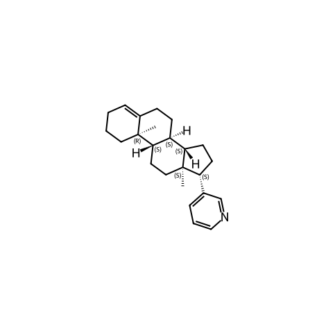 C[C@]12CC[C@H]3[C@@H](CCC4=CCCC[C@@]43C)[C@@H]1CC[C@@H]2c1cccnc1